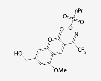 CCCS(=O)(=O)O/N=C(\c1cc2c(OC)cc(CO)cc2oc1=O)C(F)(F)F